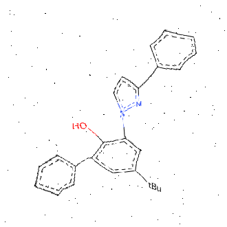 CC(C)(C)c1cc(-c2ccccc2)c(O)c(-n2ccc(-c3ccccc3)n2)c1